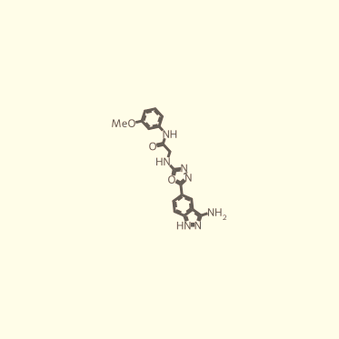 COc1cccc(NC(=O)CNc2nnc(-c3ccc4[nH]nc(N)c4c3)o2)c1